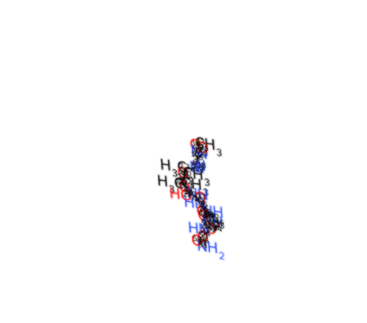 CC(C)(CCn1cc(-c2cnc(S(C)(=O)=O)nc2)nn1)OCCC(C)(C)OCC(O)NCC(=O)NCC(=O)N[C@@H](Cc1ccccc1)C(=O)NCC(=O)NCOCC(N)=O